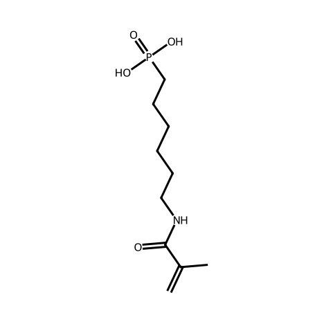 C=C(C)C(=O)NCCCCCCP(=O)(O)O